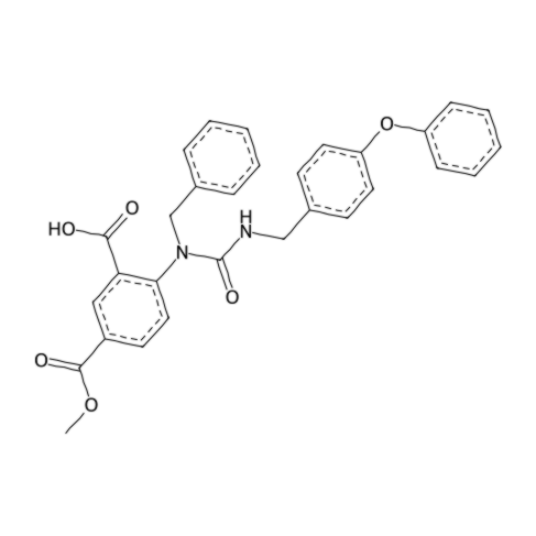 COC(=O)c1ccc(N(Cc2ccccc2)C(=O)NCc2ccc(Oc3ccccc3)cc2)c(C(=O)O)c1